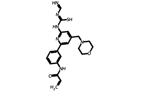 C=CC(=O)Nc1cccc(-c2cc(CN3CCOCC3)cc(N/C(S)=N/C=N)n2)c1